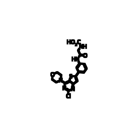 O=C(O)NCC(=O)Nc1cccc(-c2cc3nc(Cl)nc(N4CCOCC4)c3s2)c1